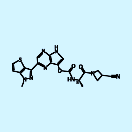 C[C@@H](NC(=O)Oc1c[nH]c2ncc(-c3nn(C)c4ccsc34)nc12)C(=O)N1CC(C#N)C1